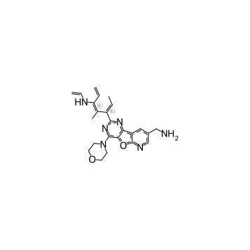 C=CN/C(C=C)=C(C)/C(=C\C)c1nc(N2CCOCC2)c2oc3ncc(CN)cc3c2n1